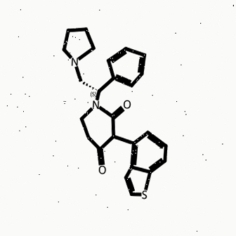 O=C1CCN([C@H](CN2CCCC2)c2ccccc2)C(=O)C1c1cccc2sccc12